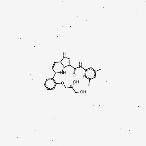 Cc1cc(C)nc(NC(=O)C2=CNC3C=CC(c4ccccc4OC[C@H](O)CO)NN23)c1